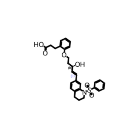 O=C(O)CCc1ccccc1OCC[C@@H](O)/C=C/c1ccc2c(c1)N(S(=O)(=O)c1ccccc1)CCC2